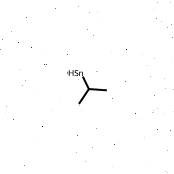 C[CH](C)[SnH]